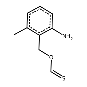 Cc1cccc(N)c1COC=S